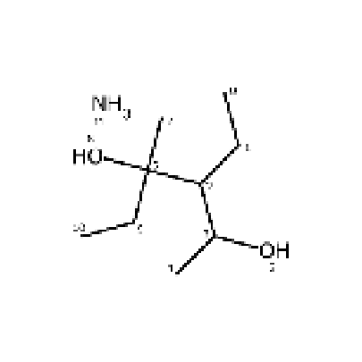 CCC(C(C)O)C(C)(O)CC.N